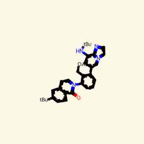 CC(=O)OCc1c(-c2cc(NC(C)(C)C)c3nccn3c2)cccc1-n1ccc2cc(C(C)(C)C)ccc2c1=O